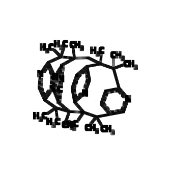 CC1(C)c2ccc(cn2)C(C)(C)C2(C)c3ccc(cn3)C1(C)CC1(C)c3ncc(cn3)C2(C)C(C)(C)c2cnc(cn2)C1(C)C